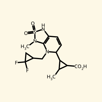 CC1C(C(=O)O)C1C1C=CC2=C(N1CC1CC1(F)F)N(C)S(=O)(=O)N2